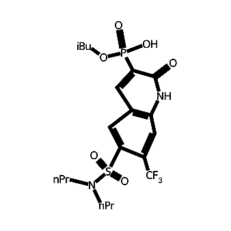 CCCN(CCC)S(=O)(=O)c1cc2cc(P(=O)(O)OC(C)CC)c(=O)[nH]c2cc1C(F)(F)F